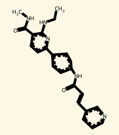 CCNc1nc(-c2ccc(NC(=O)/C=C/c3cccnc3)cc2)ccc1C(=O)NC